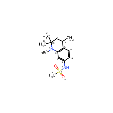 CCCCN1c2cc(NS(=O)(=O)C(F)(F)F)ccc2C(C)CC1(C)C